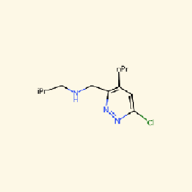 CCCc1cc(Cl)nnc1CNCC(C)C